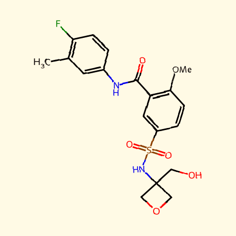 COc1ccc(S(=O)(=O)NC2(CO)COC2)cc1C(=O)Nc1ccc(F)c(C)c1